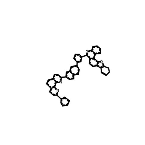 C1=Cc2c(sc3c2ccc2c(-c4cccc(-c5ccc6ccc(-c7ccc8ccc9ccc(-c%10ccccc%10)nc9c8n7)cc6c5)c4)nc4ccccc4c23)CC1